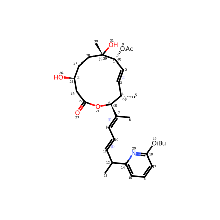 CC(=O)O[C@@H]1/C=C/[C@H](C)[C@@H](/C(C)=C/C=C/C(C)c2cccc(OCC(C)C)n2)OC(=O)C[C@@H](O)CC[C@]1(C)O